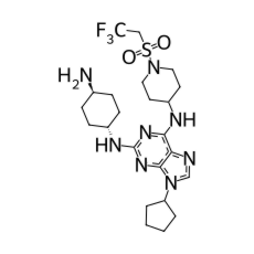 N[C@H]1CC[C@H](Nc2nc(NC3CCN(S(=O)(=O)CC(F)(F)F)CC3)c3ncn(C4CCCC4)c3n2)CC1